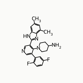 Cc1cc(C)c2nc(-c3cncc(-c4cc(F)ccc4F)c3N3CCC(N)CC3)[nH]c2c1